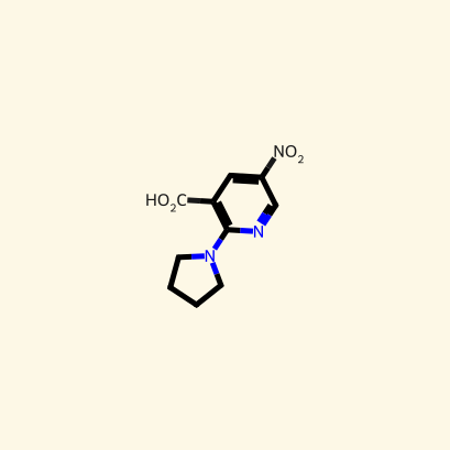 O=C(O)c1cc([N+](=O)[O-])cnc1N1CCCC1